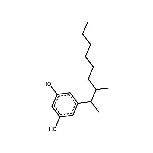 CCCCCCC(C)C(C)c1cc(O)cc(O)c1